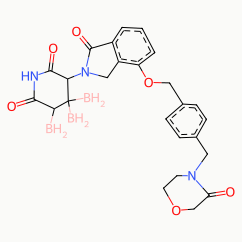 BC1C(=O)NC(=O)C(N2Cc3c(OCc4ccc(CN5CCOCC5=O)cc4)cccc3C2=O)C1(B)B